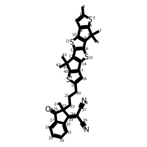 Cc1cc2c(s1)C(C)(C)c1c-2sc2c3c(sc12)-c1cc(CCCC2(C)C(=O)c4ccccc4C2=C(C#N)C#N)sc1C3(C)C